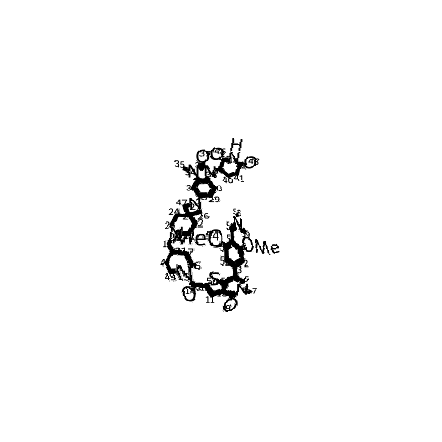 COc1cc(-c2cn(C)c(=O)c3cc(C(=O)N4CCC(CN5CCC6(CC5)CN(c5ccc7c(c5)n(C)c(=O)n7C5CCC(=O)NC5=O)C6)CC4)sc23)cc(OC)c1CN(C)C